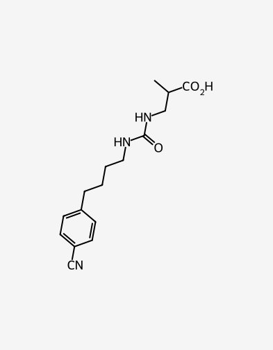 CC(CNC(=O)NCCCCc1ccc(C#N)cc1)C(=O)O